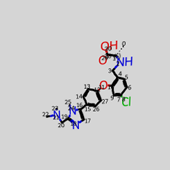 C[C@H](NCc1ccc(Cl)cc1Oc1ccc(-c2cnc(CN(C)C)n2C)cc1)C(=O)O